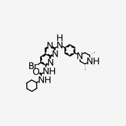 C[C@@H]1CN(c2ccc(Nc3ncc4cc(Br)c(NC(=O)NC5CCCCC5)nc4n3)cc2)C[C@H](C)N1